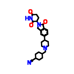 N#CC1CCC(CN2CCC(c3ccc4c(c3)CN(C3CCC(=O)NC3=O)C4=O)CC2)CC1